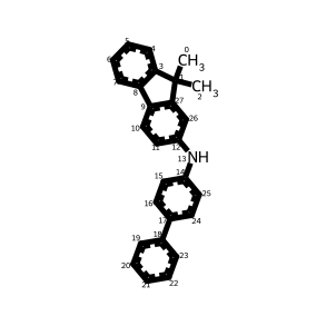 CC1(C)c2ccccc2-c2ccc(Nc3ccc(-c4ccccc4)cc3)cc21